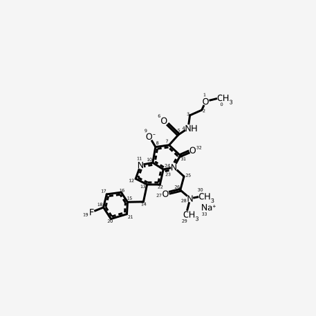 COCCNC(=O)c1c([O-])c2ncc(Cc3ccc(F)cc3)cc2n(CC(=O)N(C)C)c1=O.[Na+]